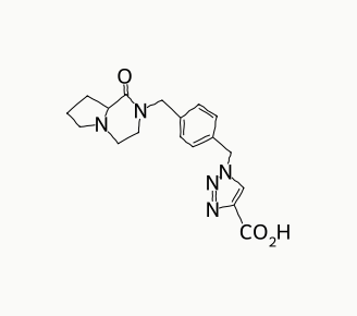 O=C(O)c1cn(Cc2ccc(CN3CCN4CCCC4C3=O)cc2)nn1